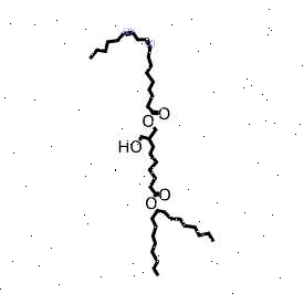 CCCCC/C=C\C/C=C\CCCCCCCC(=O)OCC(CO)CCCCCCC(=O)OC(CCCCCCCC)CCCCCCCC